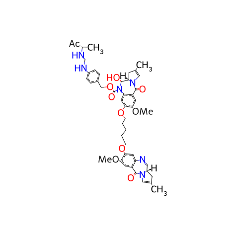 COc1cc2c(cc1OCCCCCOc1cc3c(cc1OC)C(=O)N1C=C(C)C[C@H]1[C@H](O)N3C(=O)OCc1ccc(NCN[C@@H](C)C(C)=O)cc1)N=C[C@@H]1CC(C)=CN1C2=O